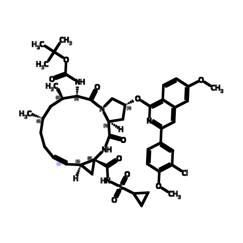 COc1ccc2c(O[C@@H]3C[C@H]4C(=O)N[C@]5(C(=O)NS(=O)(=O)C6CC6)C[C@H]5/C=C\CC[C@H](C)C[C@@H](C)[C@H](NC(=O)OC(C)(C)C)C(=O)N4C3)nc(-c3ccc(OC)c(Cl)c3)cc2c1